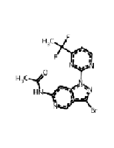 CC(=O)Nc1cc2c(cn1)c(Br)nn2-c1nccc(C(C)(F)F)n1